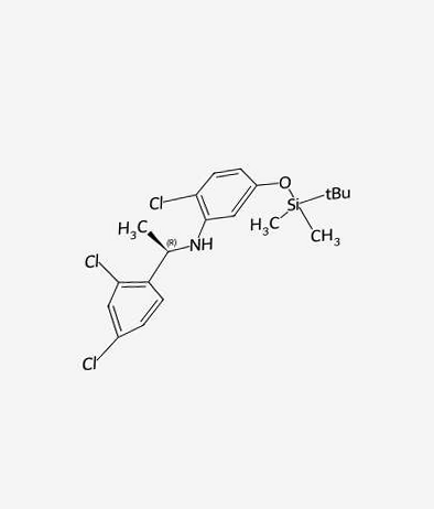 C[C@@H](Nc1cc(O[Si](C)(C)C(C)(C)C)ccc1Cl)c1ccc(Cl)cc1Cl